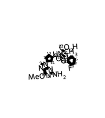 COc1nc(N)nc2c1ncn2[C@H]1C=C[C@@H](COP(=O)(N[C@@H](C)C(=O)O)Oc2cccc(F)c2)C1